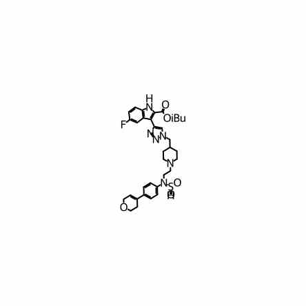 CC(C)COC(=O)c1[nH]c2ccc(F)cc2c1-c1cn(CC2CCN(CCN(c3ccc(C4=CCOCC4)cc3)[SH](=O)=O)CC2)nn1